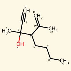 C#CC(C)(O)C(CCCC)C(=C)C